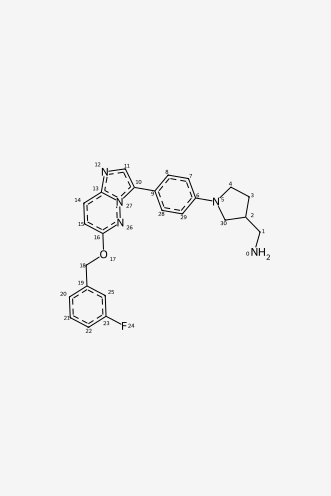 NCC1CCN(c2ccc(-c3cnc4ccc(OCc5cccc(F)c5)nn34)cc2)C1